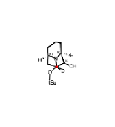 CC(C)(C)OC(=O)N1[C@@H]2CCC[C@H]1[C@@H](O)CC2